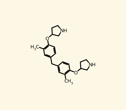 Cc1cc(Cc2ccc(OC3CCNC3)c(C)c2)ccc1OC1CCNC1